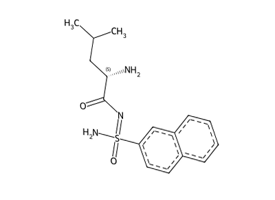 CC(C)C[C@H](N)C(=O)N=S(N)(=O)c1ccc2ccccc2c1